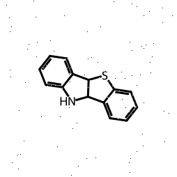 c1ccc2c(c1)NC1c3ccccc3SC21